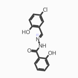 O=C(N/N=C/c1cc(Cl)ccc1O)c1ccccc1O